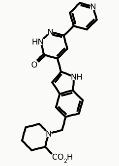 O=C(O)C1CCCCN1Cc1ccc2[nH]c(-c3cc(-c4ccncc4)n[nH]c3=O)cc2c1